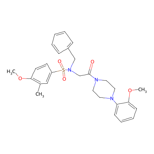 COc1ccc(S(=O)(=O)N(CC(=O)N2CCN(c3ccccc3OC)CC2)Cc2ccccc2)cc1C